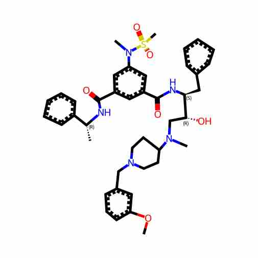 COc1cccc(CN2CCC(N(C)C[C@@H](O)[C@H](Cc3ccccc3)NC(=O)c3cc(C(=O)N[C@H](C)c4ccccc4)cc(N(C)S(C)(=O)=O)c3)CC2)c1